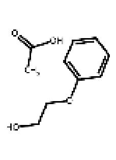 CC(=O)O.OCCOc1ccccc1